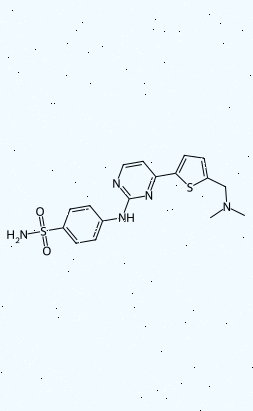 CN(C)Cc1ccc(-c2ccnc(Nc3ccc(S(N)(=O)=O)cc3)n2)s1